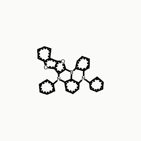 c1ccc(N2c3ccccc3B3c4oc5c(oc6ccccc65)c4N(c4ccccc4)c4cccc2c43)cc1